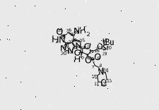 CC1(O)C(OC(=O)CCN2CCOCC2)C(CO[Si](C)(C)C(C)(C)C)OC1n1cc2c3c(ncnc31)NC(=O)C=C2N